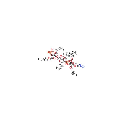 CCCCOC[C@H]1O[C@@H](OCC(OCCCC)C(OCCCC)C(COP(=O)(O)OC2[C@@H](COCCCC)O[C@@H](OCCN=[N+]=[N-])[C@H]2OCCCC)OCCCC)[C@@H](OCCCC)C1O[PH](=O)O